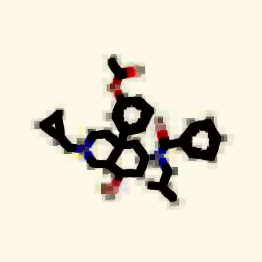 CC(=O)Oc1cccc(C23CCN(CC4CC4)CC2C(O)C[C@@H](N(CC(C)C)C(=O)c2ccccc2)C3)c1